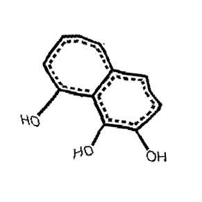 Oc1ccc2[c]ccc(O)c2c1O